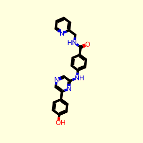 O=C(NCc1ccccn1)c1ccc(Nc2cncc(-c3ccc(O)cc3)n2)cc1